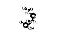 CC(C)(C)C(=O)Nc1ccnc(C(=O)NCc2cc(Cl)ccc2O)c1